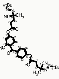 CC(C)(C)/N=N/C(C)(C#N)CCC(=O)Oc1ccc(C(=O)c2ccc(OC(=O)CCC(C)(C#N)/N=N/C(C)(C)C)cc2O)cc1